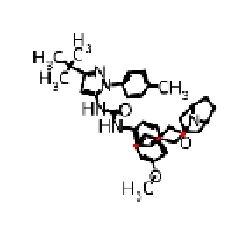 COc1cccc(CC(=O)N2C3CCC2CC(Cc2ccc(NC(=O)Nc4cc(C(C)(C)C)nn4-c4ccc(C)cc4)cc2)C3)c1